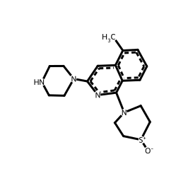 Cc1cccc2c(N3CC[S+]([O-])CC3)nc(N3CCNCC3)cc12